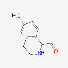 Cc1ccc2c(c1)CCNC2C=O